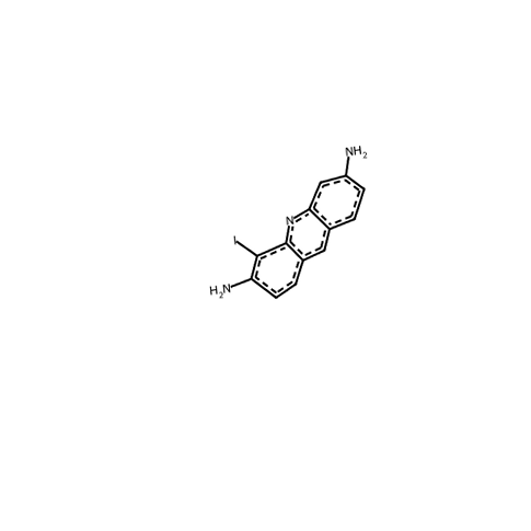 Nc1ccc2cc3ccc(N)c(I)c3nc2c1